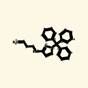 C=CCCNc1ccn(C(c2ccccc2)(c2ccccc2)c2ccccc2)n1